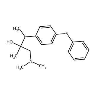 CC(c1ccc(Sc2ccccc2)cc1)C(C)(O)CN(C)C